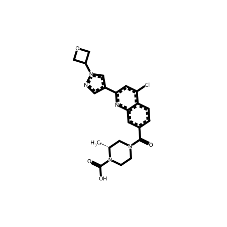 C[C@@H]1CN(C(=O)c2ccc3c(Cl)cc(-c4cnn(C5COC5)c4)nc3c2)CCN1C(=O)O